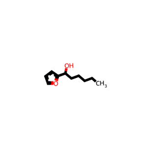 CCCCCC(O)c1ccco1